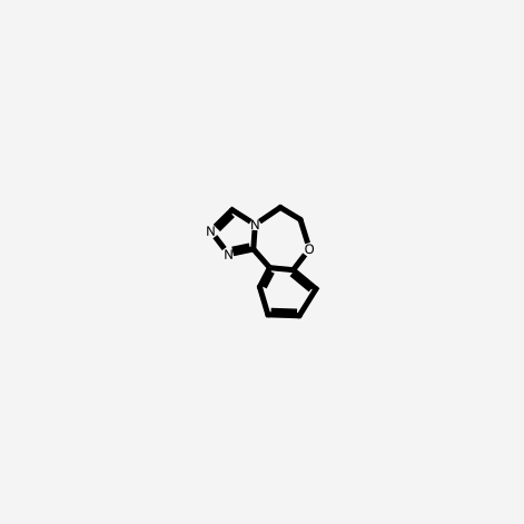 c1ccc2c(c1)OCCn1cnnc1-2